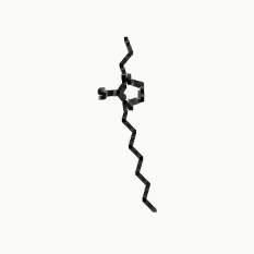 CCCCCCCCn1ccn(CCC)c1=S